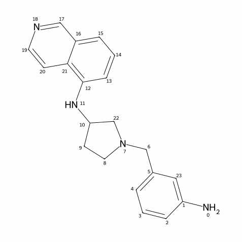 Nc1cccc(CN2CCC(Nc3cccc4cnccc34)C2)c1